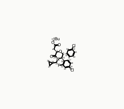 CC(C)(C)OC(=O)C[C@H]1O[C@H](c2cccc(Cl)c2)[C@@H](c2ccc(Cl)cc2F)N(CC2CC2)C1=O